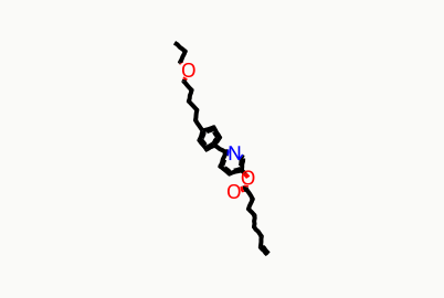 C=CCCCCCC(=O)Oc1ccc(-c2ccc(CCCCCOCCC)cc2)nc1